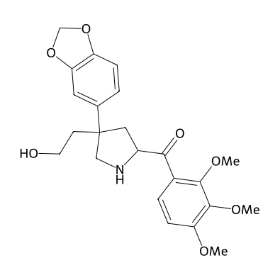 COc1ccc(C(=O)C2CC(CCO)(c3ccc4c(c3)OCO4)CN2)c(OC)c1OC